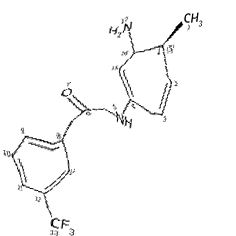 C[C@H]1C=CC(NC(=O)c2cccc(C(F)(F)F)c2)=CC1N